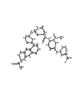 CN(C)c1cccc(Oc2ccc(OC(=O)c3cccc(Oc4cccc(-c5cccc6cc7cc(C(=O)O)ccc7cc56)c4)c3)c(C(=O)O)c2)c1